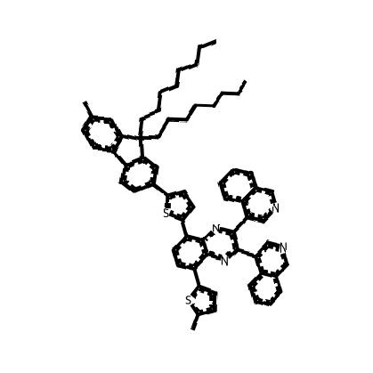 CCCCCCCCC1(CCCCCCCC)c2cc(C)ccc2-c2ccc(-c3ccc(-c4ccc(-c5ccc(C)s5)c5nc(-c6cncc7ccccc67)c(-c6cncc7ccccc67)nc45)s3)cc21